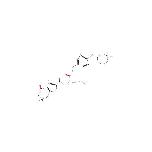 CCCCC(NC(=O)c1[nH]c2c(c1C)C(=O)CC(C)(C)C2)C(=O)NCc1ccc(CC2CCCC(F)(F)C2)cc1